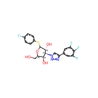 OC[C@H]1OC(Sc2ccc(F)cc2)[C@H](O)[C@@H](n2cc(-c3cc(F)c(F)c(F)c3)nn2)[C@H]1O